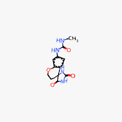 CNC(=O)Nc1ccc2c(c1)OCCC21NC(=O)NC1=O